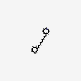 C1=C\CCC(CCSCCCSCCC2CCCCCCC2)CCC/1